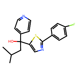 CC(C)CC(O)(c1ccncc1)c1cnc(-c2ccc(F)cc2)s1